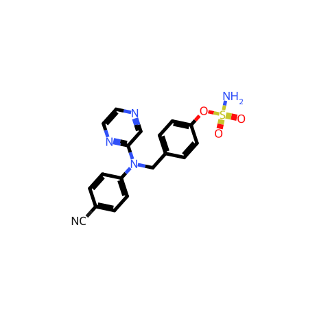 N#Cc1ccc(N(Cc2ccc(OS(N)(=O)=O)cc2)c2cnccn2)cc1